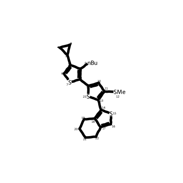 CCCCc1c(C2CC2)csc1-c1cc(SC)c(-c2scc3c2CCCC3)s1